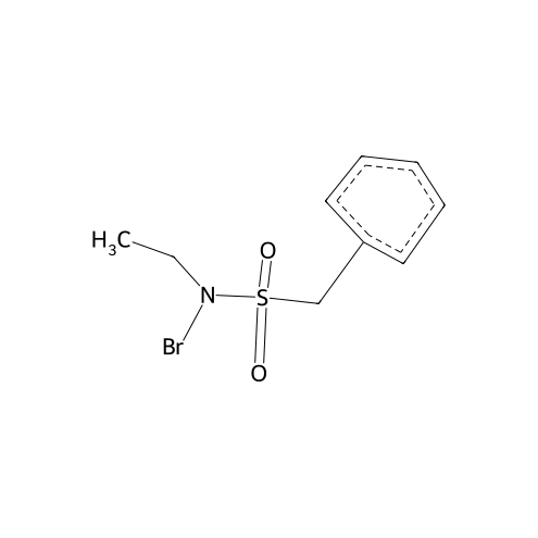 CCN(Br)S(=O)(=O)Cc1ccccc1